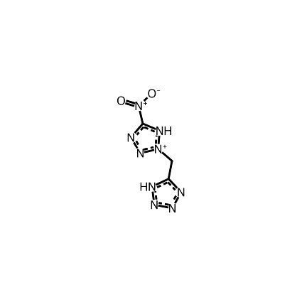 O=[N+]([O-])c1nn[n+](Cc2nnn[nH]2)[nH]1